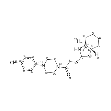 O=C(CSC1=N[C@H]2CCCC[C@@H]2N1)N1CCN(c2ccc(Cl)cc2)CC1